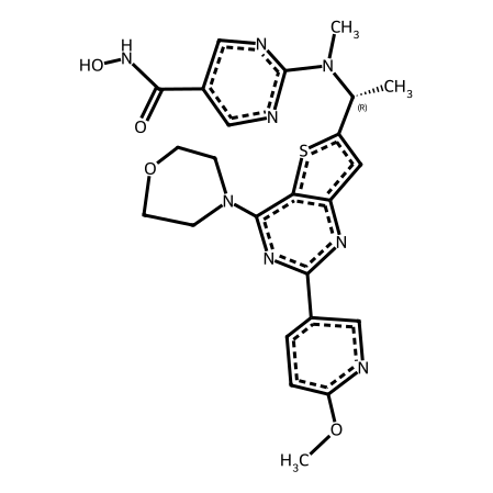 COc1ccc(-c2nc(N3CCOCC3)c3sc([C@@H](C)N(C)c4ncc(C(=O)NO)cn4)cc3n2)cn1